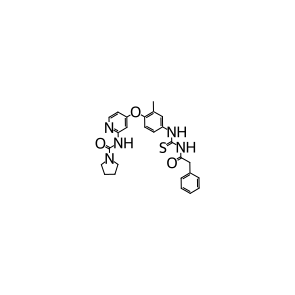 Cc1cc(NC(=S)NC(=O)Cc2ccccc2)ccc1Oc1ccnc(NC(=O)N2CCCC2)c1